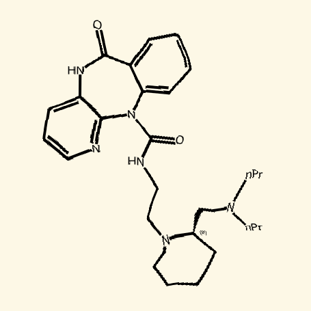 CCCN(CCC)C[C@H]1CCCCN1CCNC(=O)N1c2ccccc2C(=O)Nc2cccnc21